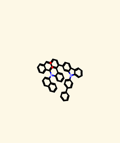 c1ccc(-c2ccc(-n3c4ccccc4c4ccc(-c5ccccc5-c5ccccc5N(c5cccc6ccccc56)c5cccc6ccccc56)cc43)cc2)cc1